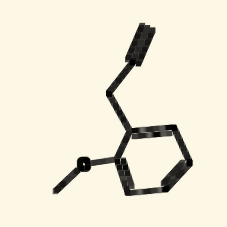 C#CCc1ccccc1OC